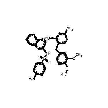 COc1ccc(Cc2cnc(N)nc2N)cc1OC.Nc1ccc(S(=O)(=O)Nc2cnc3ccccc3n2)cc1